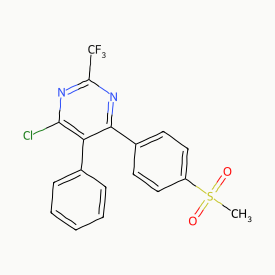 CS(=O)(=O)c1ccc(-c2nc(C(F)(F)F)nc(Cl)c2-c2ccccc2)cc1